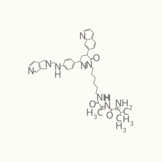 CC(C)[C@H](N)C(=O)N[C@@H](C)C(=O)NCCCCCCN1N=C(c2ccc(NCN3Cc4ccncc4C3)cc2)CC(c2ccc3cccnc3c2)C1=O